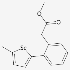 COC(=O)Cc1ccccc1-c1ccc(C)[se]1